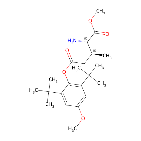 COC(=O)[C@@H](N)[C@@H](C)CC(=O)Oc1c(C(C)(C)C)cc(OC)cc1C(C)(C)C